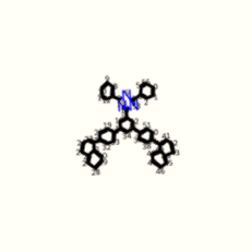 c1ccc(-c2nc(-c3ccccc3)nc(-c3cc(-c4ccc(-c5cccc6ccccc56)cc4)cc(-c4ccc(-c5cccc6ccccc56)cc4)c3)n2)cc1